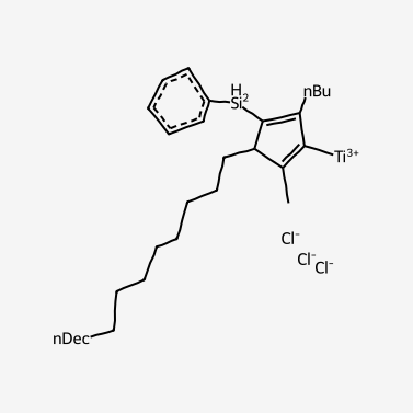 CCCCCCCCCCCCCCCCCCC1C(C)=[C]([Ti+3])C(CCCC)=C1[SiH2]c1ccccc1.[Cl-].[Cl-].[Cl-]